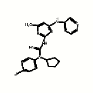 Cc1cc(Nc2cccnc2)nc(NC(=N)N(c2ccc(Cl)cc2)C2CCCC2)n1